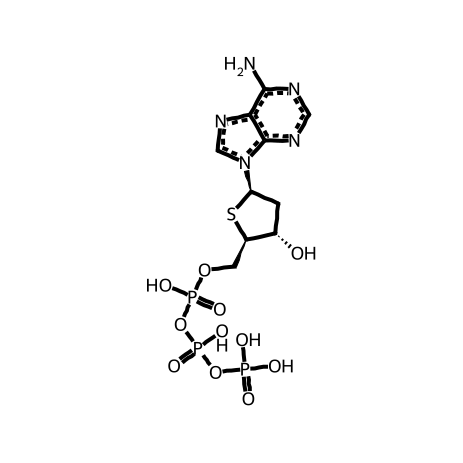 Nc1ncnc2c1ncn2[C@H]1C[C@H](O)[C@@H](COP(=O)(O)OP(=O)(O)OP(=O)(O)O)S1